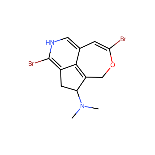 CN(C)C1CC2=C(Br)NC=C3C=C(Br)OCC1=C32